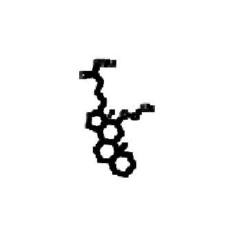 COC(=O)CCCC1CCC2C3CCC4CCCCC4(C)C3CC(OOC(C)(C)C)[C@]12C